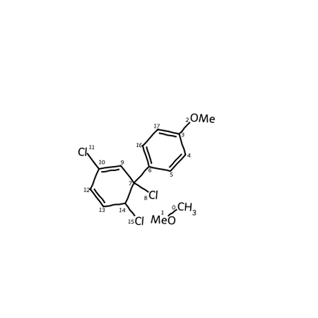 COC.COc1ccc(C2(Cl)C=C(Cl)C=CC2Cl)cc1